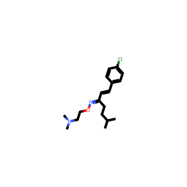 CC(C)CCC(/C=C/c1ccc(Cl)cc1)=N\OCCN(C)C